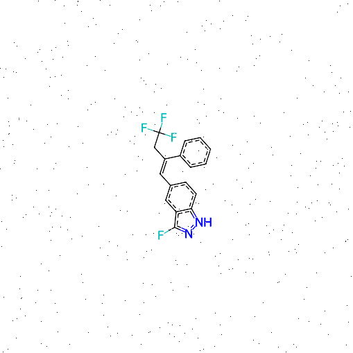 Fc1n[nH]c2ccc(/C=C(/CC(F)(F)F)c3ccccc3)cc12